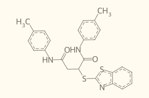 Cc1ccc(NC(=O)CC(Sc2nc3ccccc3s2)C(=O)Nc2ccc(C)cc2)cc1